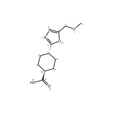 COCc1nnc([C@H]2CC[C@H](C(=O)O)CC2)o1